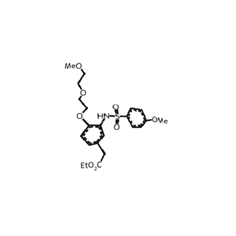 CCOC(=O)Cc1ccc(OCCOCCOC)c(NS(=O)(=O)c2ccc(OC)cc2)c1